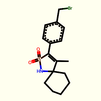 CC1=C(c2ccc(CBr)cc2)S(=O)(=O)NC12CCCCC2